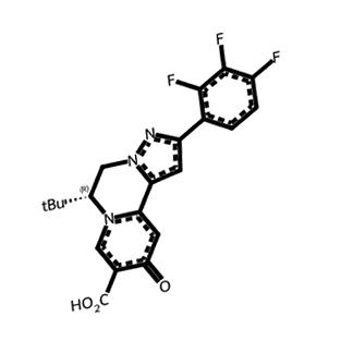 CC(C)(C)[C@@H]1Cn2nc(-c3ccc(F)c(F)c3F)cc2-c2cc(=O)c(C(=O)O)cn21